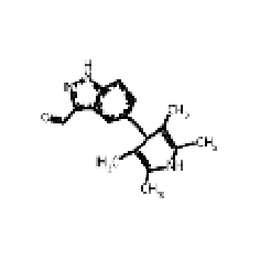 CC1=C(C)C(c2ccc3[nH]nc(C=O)c3c2)C(C)=C(C)N1